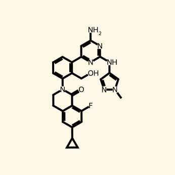 Cn1cc(Nc2nc(N)cc(-c3cccc(N4CCc5cc(C6CC6)cc(F)c5C4=O)c3CO)n2)cn1